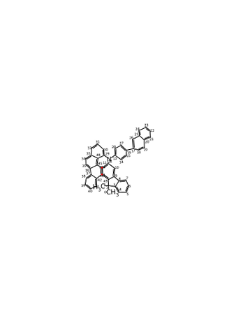 CC1(C)c2ccccc2-c2cc(N(c3ccc(-c4ccc5ccccc5c4)cc3)c3cccc4ccc5c6ccccc6ccc5c34)ccc21